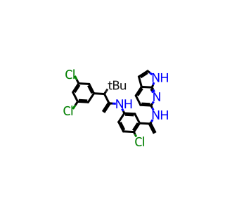 C=C(Nc1ccc2cc[nH]c2n1)c1cc(NC(=C)C(c2cc(Cl)cc(Cl)c2)C(C)(C)C)ccc1Cl